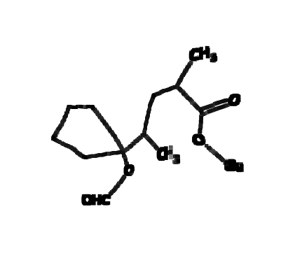 CC(CC(C)C1(OC=O)CCCC1)C(=O)OC(C)(C)C